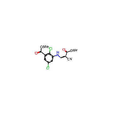 COC(=O)C(C#N)=CNc1cc(Cl)cc(C(=O)OC)c1Cl